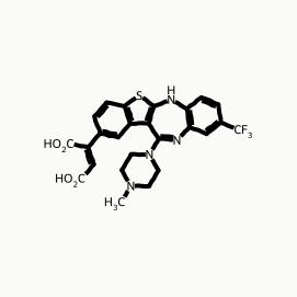 CN1CCN(C2=Nc3cc(C(F)(F)F)ccc3Nc3sc4ccc(C(=CC(=O)O)C(=O)O)cc4c32)CC1